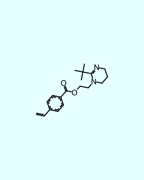 C=Cc1ccc(C(=O)OCCN2CCCN=C2C(C)(C)C)cc1